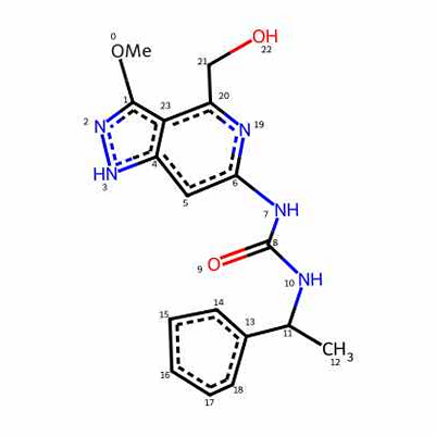 COc1n[nH]c2cc(NC(=O)NC(C)c3ccccc3)nc(CO)c12